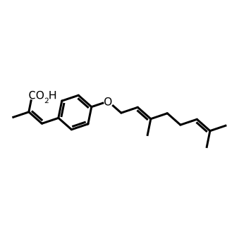 CC(C)=CCC/C(C)=C/COc1ccc(/C=C(/C)C(=O)O)cc1